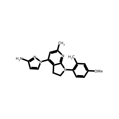 COc1ccc(N2CCc3c(-n4ccc(N)n4)cc(C)nc32)c(C)c1